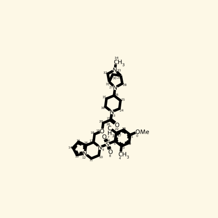 COc1cc(C)c(S(=O)(=O)N2CCn3cccc3C2COCC(=O)N2CCC(N3CC4CC3CN4C)CC2)c(C)c1